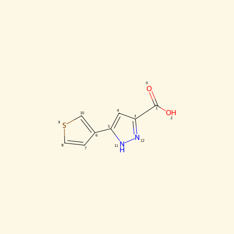 O=C(O)c1cc(-c2ccsc2)[nH]n1